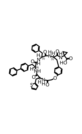 O=C1COc2ccc(cc2)C[C@@H](C(=O)NC2(C(=O)O)CC2)NC(=O)[C@H](Cc2ccccc2)NC(=O)[C@@H](Cc2ccc(-c3ccccc3)cc2)NC(=O)[C@H](Cc2cccs2)N1